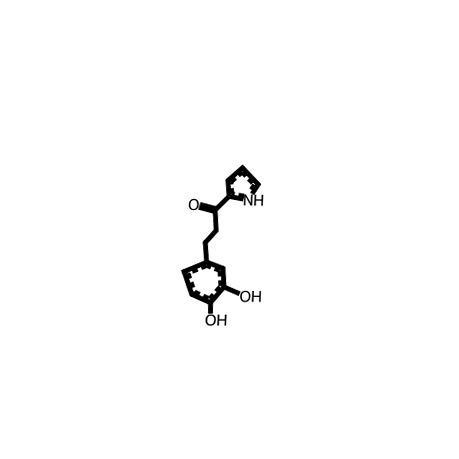 O=C(CCc1ccc(O)c(O)c1)c1ccc[nH]1